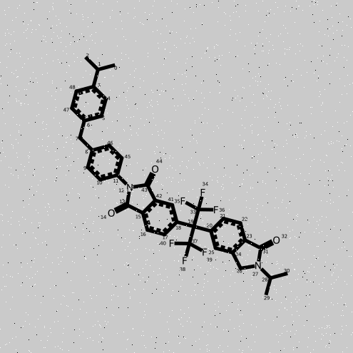 CC(C)c1ccc(Cc2ccc(N3C(=O)c4ccc(C(c5ccc6c(c5)CN(C(C)C)C6=O)(C(F)(F)F)C(F)(F)F)cc4C3=O)cc2)cc1